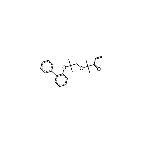 C=CC(=O)C(C)(C)OCC(C)(C)Oc1ccccc1-c1ccccc1